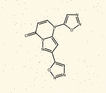 O=c1ccn(-c2cnno2)c2cc(-c3cnno3)nn12